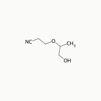 CC(CO)OCCC#N